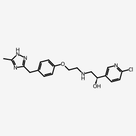 Cc1nc(Cc2ccc(OCCNC[C@H](O)c3ccc(Cl)nc3)cc2)n[nH]1